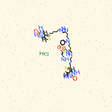 Cl.NC/C=C(\F)CS(=O)(=O)c1cccc(N(CCCc2cn(CCCCC[C@@H]3SC[C@@H]4NC(=O)N[C@@H]43)nn2)CCCc2cn(CCCCC[C@@H]3SC[C@@H]4NC(=O)N[C@@H]43)nn2)c1